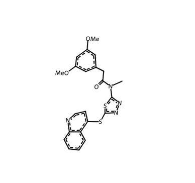 COc1cc(CC(=O)N(C)c2nnc(Sc3ccnc4ccccc34)s2)cc(OC)c1